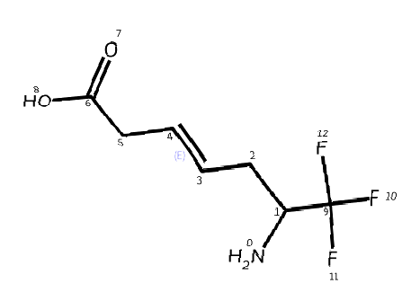 NC(C/C=C/CC(=O)O)C(F)(F)F